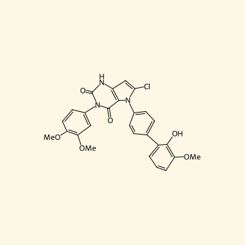 COc1ccc(-n2c(=O)[nH]c3cc(Cl)n(-c4ccc(-c5cccc(OC)c5O)cc4)c3c2=O)cc1OC